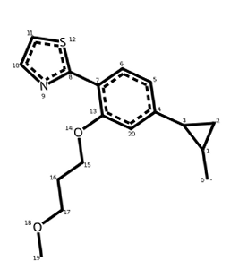 [CH2]C1CC1c1ccc(-c2nccs2)c(OCCCOC)c1